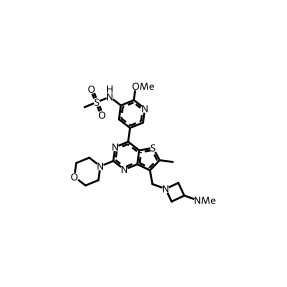 CNC1CN(Cc2c(C)sc3c(-c4cnc(OC)c(NS(C)(=O)=O)c4)nc(N4CCOCC4)nc23)C1